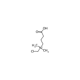 C[N+](C)(CCl)CCCC(=O)O